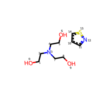 OCCN(CCO)CCO.c1cnsc1